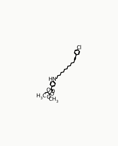 CCC(OC(=O)c1ccc(NCCCCCCCCCCCC#Cc2ccc(Cl)cc2)cc1)C(=O)OC